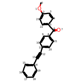 COc1ccc(C(=O)c2ccc(C#Cc3ccccc3)cc2)cc1